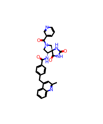 Cc1cc(Cc2ccc(C(=O)N[C@@H]3CN(C(=O)c4cccnc4)C[C@]34NC(=O)NC4=O)cc2)c2ccccc2n1